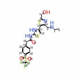 CCNCc1nc(CO)sc1C1=CSC(NC(=O)Cc2ccc(S(=O)(=O)C(F)(F)F)cc2)N1